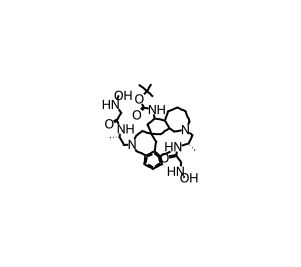 Cc1cccc2c1CC1(CCN(C[C@H](C)NC(=O)CNO)C2)CC2CN(C[C@H](C)NC(=O)CNO)CCCCC2C(NC(=O)OC(C)(C)C)C1